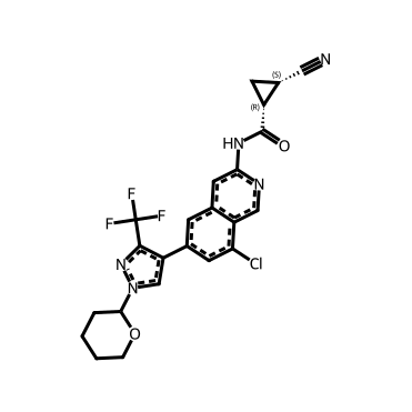 N#C[C@H]1C[C@H]1C(=O)Nc1cc2cc(-c3cn(C4CCCCO4)nc3C(F)(F)F)cc(Cl)c2cn1